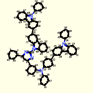 c1ccc(-c2cc(-c3cccc(N(c4ccccc4)c4ccc(-c5ccc6c(c5)c5ccccc5n6-c5ccccc5)cc4)c3)nc(-n3c4ccccc4c4cc(-c5ccc6c(c5)c5ccccc5n6-c5ccccc5)ccc43)n2)cc1